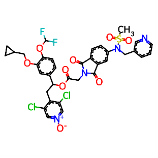 CS(=O)(=O)N(Cc1cccnc1)c1ccc2c(c1)C(=O)N(CC(=O)OC(Cc1c(Cl)c[n+]([O-])cc1Cl)c1ccc(OC(F)F)c(OCC3CC3)c1)C2=O